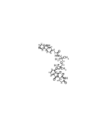 CC(C)(CNC(=O)CCc1ccc2c(c1)[nH]c1ccncc12)COCC(C)(C)COc1cccc2c1C(=O)N(C1CCC(=O)NC1=O)C2=O